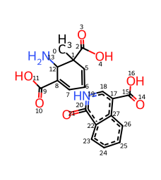 CC1(C(=O)O)C=CC=C(C(=O)O)C1N.O=C(O)c1c[nH]c(=O)c2ccccc12